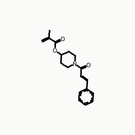 C=C(C)C(=O)OC1CCN(C(=O)/C=C/c2ccccc2)CC1